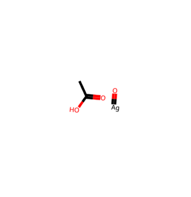 CC(=O)O.[O]=[Ag]